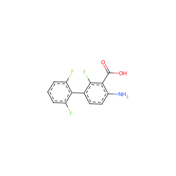 Nc1ccc(-c2c(F)cccc2F)c(F)c1C(=O)O